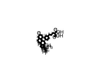 C[C@]12C[C@H](c3ccc(C=CCC(C(=O)O)C(=O)O)cc3)C3=C4CCC(=O)C=C4CC[C@H]3[C@@H]1CC[C@@]2(O)C(F)(F)C(F)(F)F